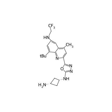 Cc1cc(-c2nnc(N[C@H]3C[C@@H](N)C3)o2)nc2c(C(C)(C)C)cc(NCC(F)(F)F)cc12